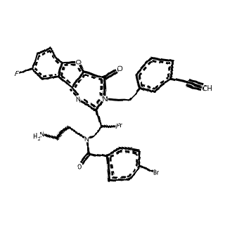 C#Cc1cccc(Cn2c(C(C(C)C)N(CCN)C(=O)c3ccc(Br)cc3)nc3c(oc4ccc(F)cc43)c2=O)c1